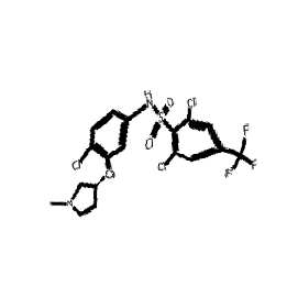 CN1CC[C@H](Oc2cc(NS(=O)(=O)c3c(Cl)cc(C(F)(F)F)cc3Cl)ccc2Cl)C1